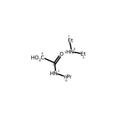 CCCNC(=O)C(=O)O.CCNCC